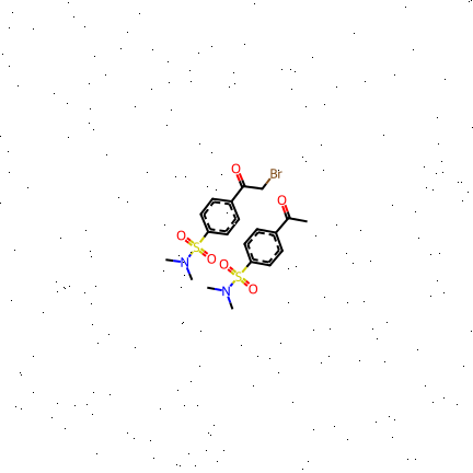 CC(=O)c1ccc(S(=O)(=O)N(C)C)cc1.CN(C)S(=O)(=O)c1ccc(C(=O)CBr)cc1